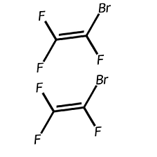 FC(F)=C(F)Br.FC(F)=C(F)Br